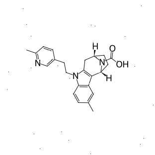 Cc1ccc2c(c1)c1c(n2CCc2ccc(C)nc2)C[C@@H]2CC[C@H]1N2C(=O)O